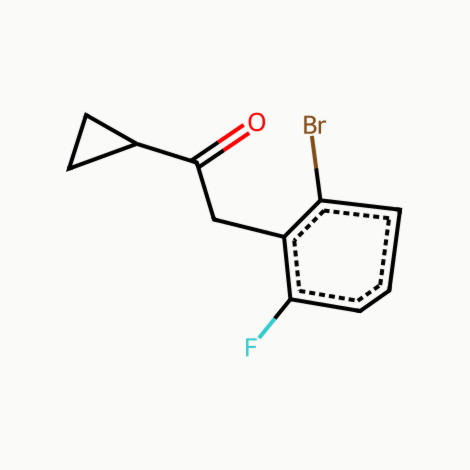 O=C(Cc1c(F)cccc1Br)C1CC1